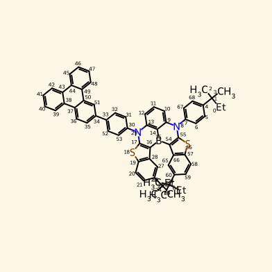 CCC(C)(C)c1ccc(N2c3cccc4c3B(c3c(sc5ccc(C(C)(C)CC)cc35)N4c3ccc(-c4ccc5c6ccccc6c6ccccc6c5c4)cc3)c3c2sc2ccc(C(C)(C)CC)cc32)cc1